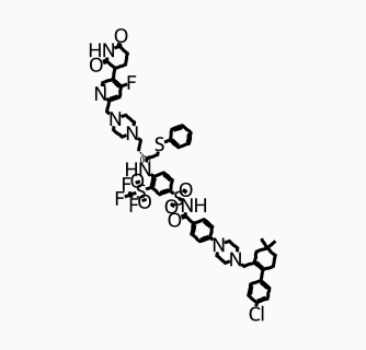 CC1(C)CCC(c2ccc(Cl)cc2)=C(CN2CCN(c3ccc(C(=O)NS(=O)(=O)c4ccc(N[C@H](CCN5CCN(Cc6cc(F)c(C7CCC(=O)NC7=O)cn6)CC5)CSc5ccccc5)c(S(=O)(=O)C(F)(F)F)c4)cc3)CC2)C1